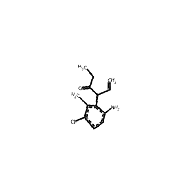 C=CC(C(=O)CC)c1c(N)ccc(Cl)c1C